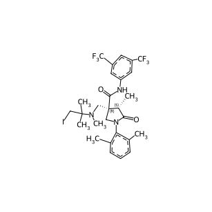 Cc1cccc(C)c1N1C[C@@](CN(C)C(C)(C)CI)(C(=O)Nc2cc(C(F)(F)F)cc(C(F)(F)F)c2)[C@H](C)C1=O